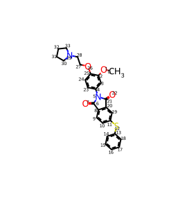 COc1cc(N2C(=O)c3ccc(Sc4ccccc4)cc3C2=O)ccc1OCCN1CCCC1